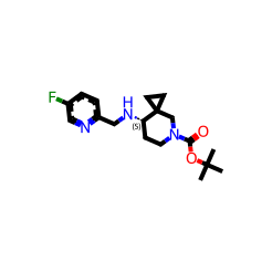 CC(C)(C)OC(=O)N1CC[C@H](NCc2ccc(F)cn2)C2(CC2)C1